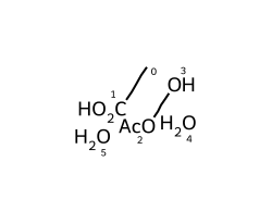 CC(=O)O.CC(=O)OO.O.O